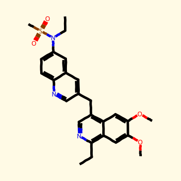 CCc1ncc(Cc2cnc3ccc(N(CC)S(C)(=O)=O)cc3c2)c2cc(OC)c(OC)cc12